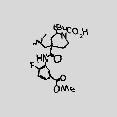 COC(=O)c1ccc(F)c(NC(=O)C2(CN(C)C)CCN(C(=O)O)C(C(C)(C)C)C2)c1